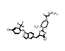 COCC(=O)N1CCN(C2=NC(=O)/C(=C/c3ccc4c(cnn4Cc4ccc(Cl)cc4C(F)(F)F)c3)S2)[C@H](C)C1